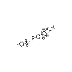 Cc1ccc(S(=O)(=O)OCCOc2ccc(S(=O)(=O)N[C@@H](CC(F)=CC(C)(C)C)C(=O)O)cc2)cc1